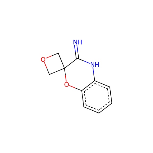 N=C1Nc2ccccc2OC12COC2